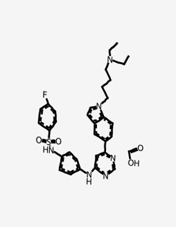 CCN(CC)CCCCn1ccc2cc(-c3cc(Nc4ccc(NS(=O)(=O)c5ccc(F)cc5)cc4)ncn3)ccc21.O=CO